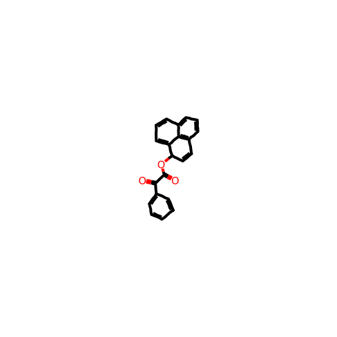 O=C(OC1C=Cc2cccc3cccc1c23)C(=O)c1ccccc1